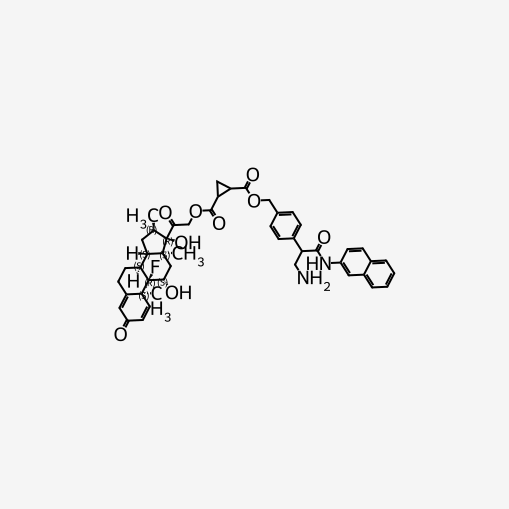 C[C@@H]1C[C@H]2[C@@H]3CCC4=CC(=O)C=C[C@]4(C)[C@@]3(F)[C@@H](O)C[C@]2(C)[C@@]1(O)C(=O)COC(=O)C1CC1C(=O)OCc1ccc(C(CN)C(=O)Nc2ccc3ccccc3c2)cc1